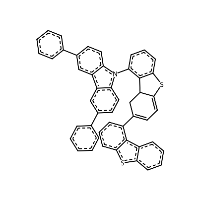 C1=C(c2cccc3sc4ccccc4c23)CC2C(=C1)Sc1cccc(-n3c4ccc(-c5ccccc5)cc4c4cc(-c5ccccc5)ccc43)c12